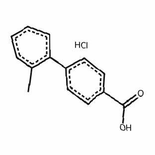 Cc1ccccc1-c1ccc(C(=O)O)cc1.Cl